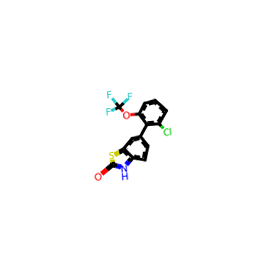 O=c1[nH]c2ccc(-c3c(Cl)cccc3OC(F)(F)F)cc2s1